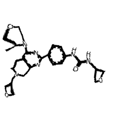 C[C@H]1COCCN1c1nc(-c2ccc(NC(=O)NC3COC3)cc2)nc2c1CCN(C1COC1)C2